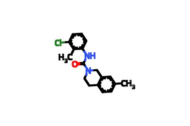 Cc1ccc2c(c1)CN(C(=O)Nc1cccc(Cl)c1C)CC2